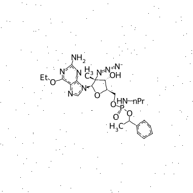 CCCNP(=O)(OC[C@H]1O[C@@H](n2cnc3c(OCC)nc(N)nc32)[C@](C)(N=[N+]=[N-])[C@@H]1O)OC(C)c1ccccc1